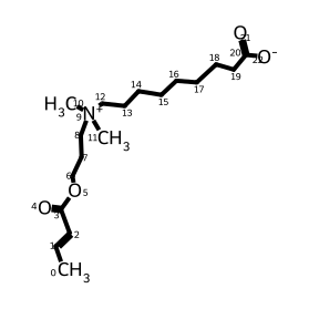 CC=CC(=O)OCCC[N+](C)(C)CCCCCCCCC(=O)[O-]